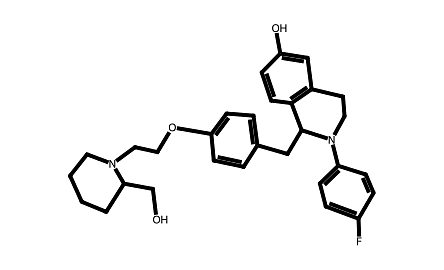 OCC1CCCCN1CCOc1ccc(CC2c3ccc(O)cc3CCN2c2ccc(F)cc2)cc1